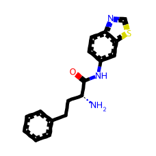 N[C@H](CCc1ccccc1)C(=O)Nc1ccc2ncsc2c1